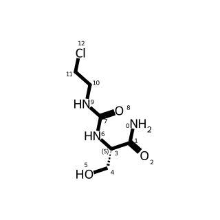 NC(=O)[C@H](CO)NC(=O)NCCCl